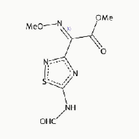 CO/N=C(/C(=O)OC)c1nsc(NC=O)n1